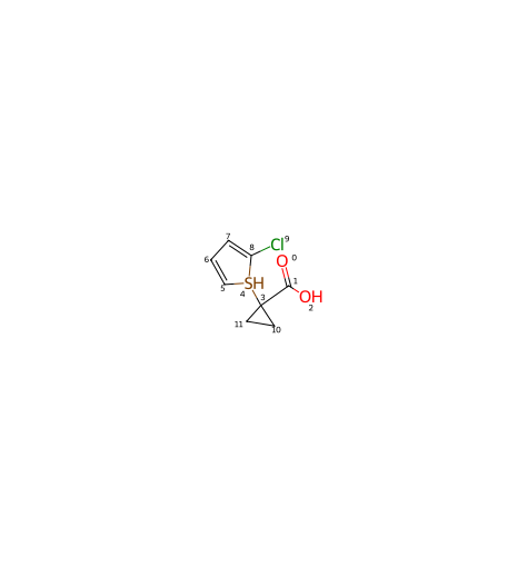 O=C(O)C1([SH]2C=CC=C2Cl)CC1